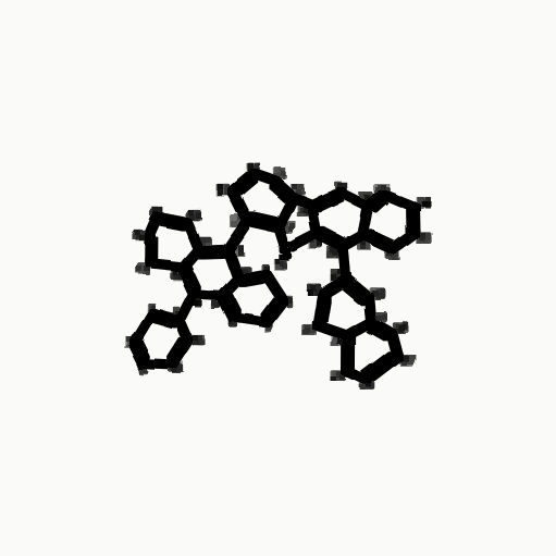 c1ccc(-c2c3ccccc3c(-c3cccc4c3sc3c(-c5ccc6ccccc6c5)c5ccccc5cc34)c3ccccc23)cc1